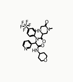 CN1CC(C(=O)N(c2ccc(S(F)(F)(F)(F)F)cc2)C(C(=O)NC2CCOCC2)c2cccnc2)NCC1=O